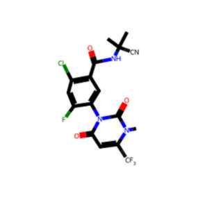 Cn1c(C(F)(F)F)cc(=O)n(-c2cc(C(=O)NC(C)(C)C#N)c(Cl)cc2F)c1=O